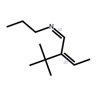 C/C=C(\C=N/CCC)C(C)(C)C